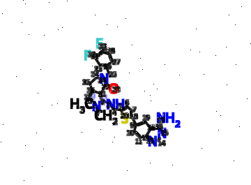 C=N/C(NCc1ccc(-c2ccc3ncnc(N)c3c2)s1)=C1/C(=O)N(Cc2ccc(F)c(F)c2)CC/C1=C/C